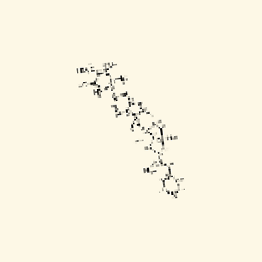 CCc1c(-c2ccc3c(c2)cc(CN2C[C@H]4C[C@H](N(C)Cc5ccccc5)C[C@H]4C2)n3C)[nH]c(=O)c(C(=O)O)c1O